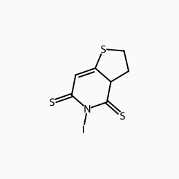 S=C1C=C2SCCC2C(=S)N1I